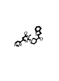 Cn1c(N2CCCC(C(=O)c3cc4ccccc4s3)C2)nc(-c2ccncn2)cc1=O